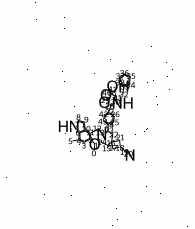 COc1cc(C)c2[nH]ccc2c1CN1CCC2(CC(C#N)C2)CC1c1ccc(C(=O)N[C@@H](Cc2ccccc2)C(=O)O)cc1